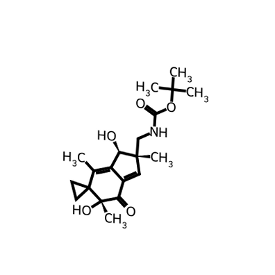 CC1=C2C(=C[C@@](C)(CNC(=O)OC(C)(C)C)[C@@H]2O)C(=O)[C@](C)(O)C12CC2